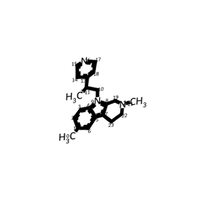 Cc1ccc2c(c1)c1c(n2CC(C)c2ccncc2)CN(C)CC1